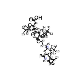 C/C(=C/C[C@H](O[Si](C)(C)C(C)(C)C)/C(F)=C\c1csc(C)n1)CCO[C@H](C)[C@@H](O[Si](C)(C)C(C)(C)C)[C@@H](C)C(=O)C(C)(C)[C@H](CC(=O)O)O[Si](C)(C)C(C)(C)C